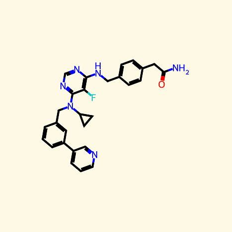 NC(=O)Cc1ccc(CNc2ncnc(N(Cc3cccc(-c4cccnc4)c3)C3CC3)c2F)cc1